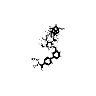 CON(C)C(=O)c1ccc(-c2cccc(CN3O[C@@H](CO)[C@@H]([C@H](C)O)[C@H]3C(=O)N[C@H]3C[C@H]4C[C@@H]([C@@H]3C)C4(C)C)c2)cc1